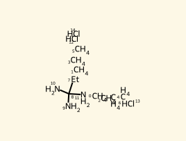 C.C.C.C.C.C.C.CCC(N)(N)N.Cl.Cl.Cl